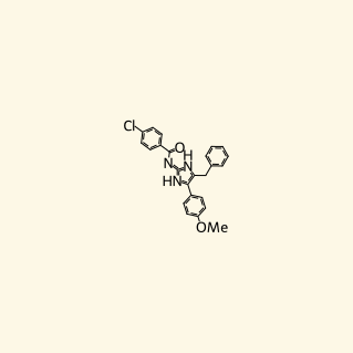 COc1ccc(-c2[nH]/c(=N/C(=O)c3ccc(Cl)cc3)[nH]c2Cc2ccccc2)cc1